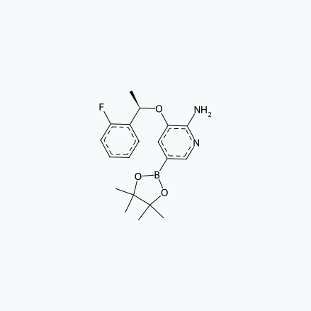 C[C@@H](Oc1cc(B2OC(C)(C)C(C)(C)O2)cnc1N)c1ccccc1F